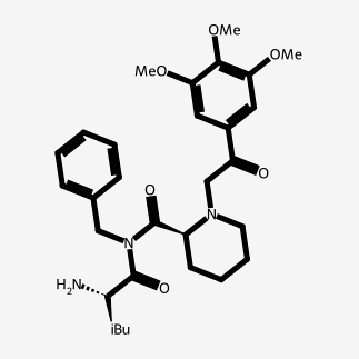 CC[C@H](C)[C@H](N)C(=O)N(Cc1ccccc1)C(=O)[C@@H]1CCCCN1CC(=O)c1cc(OC)c(OC)c(OC)c1